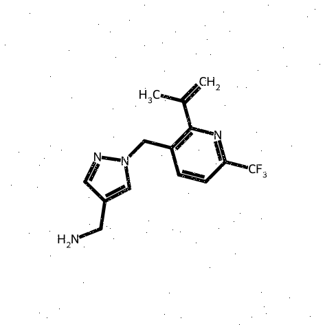 C=C(C)c1nc(C(F)(F)F)ccc1Cn1cc(CN)cn1